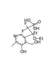 CCOC(CC)(c1cnc(C)c(O)c1CO)C(F)(F)P(=O)(O)O